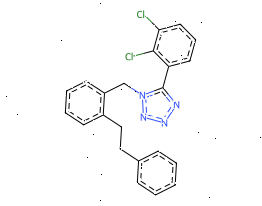 Clc1cccc(-c2nnnn2Cc2ccccc2CCc2ccccc2)c1Cl